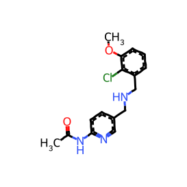 COc1cccc(CNCc2ccc(NC(C)=O)nc2)c1Cl